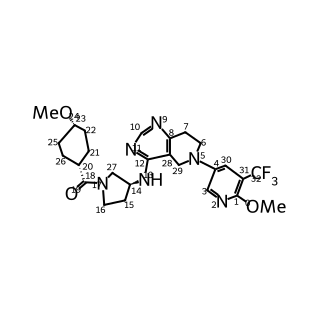 COc1ncc(N2CCc3ncnc(N[C@H]4CCN(C(=O)[C@H]5CC[C@@H](OC)CC5)C4)c3C2)cc1C(F)(F)F